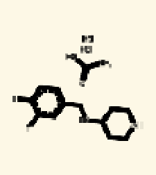 Cl.Cl.Fc1ccc(CNC2CCNCC2)cc1F.NC(=O)O